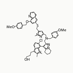 COc1ccc(COc2cc(SCc3cc(CN(Cc4ccc(OC)cc4)Cc4nn5c(c4-c4c(Cl)ccc6c(CCCO)c(C)n(C)c46)CCCC5)nn3C)cc3cccnc23)cc1